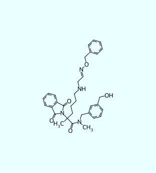 CN(Cc1cccc(CO)c1)C(=O)C(C)(CCCCNCC=NOCc1ccccc1)N1C(=O)c2ccccc2C1=O